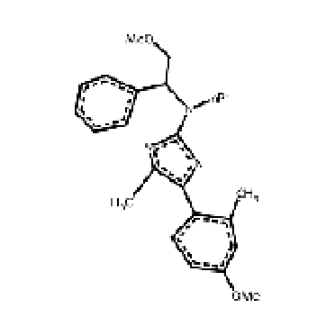 CCCN(c1nc(-c2ccc(OC)cc2C)c(C)s1)C(COC)c1ccccc1